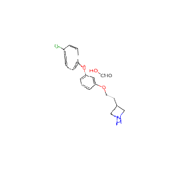 Clc1ccc(Oc2cccc(OCCC3CNC3)c2)cc1.O=CO